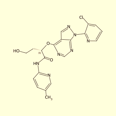 Cc1ccc(NC(=O)[C@H](CCO)Oc2ncnc3c2cnn3-c2ncccc2Cl)nc1